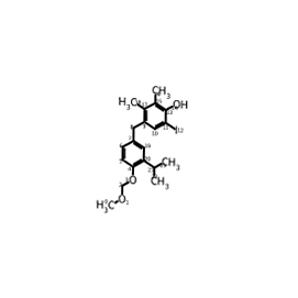 COCOc1ccc(Cc2cc(I)c(O)c(C)c2C)cc1C(C)C